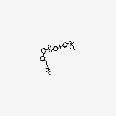 CCCC(C)(CC)Oc1ccc(C(C)(C)c2ccc(OC(=O)c3cccc(-c4cccc(CCCC(C)(C)C(C)=O)c4)c3)cc2)cc1